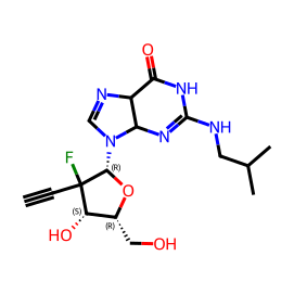 C#CC1(F)[C@@H](O)[C@@H](CO)O[C@H]1N1C=NC2C(=O)NC(NCC(C)C)=NC21